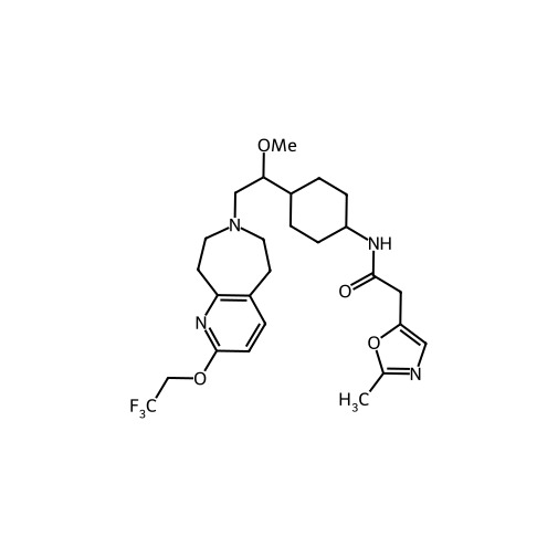 COC(CN1CCc2ccc(OCC(F)(F)F)nc2CC1)C1CCC(NC(=O)Cc2cnc(C)o2)CC1